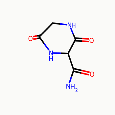 NC(=O)C1NC(=O)CNC1=O